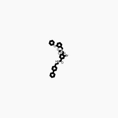 O=C(O)C(=O)N(Cc1cccc(Oc2ccccc2)c1)Cc1ccc(C(=O)NCCc2ccc(-c3ccccc3)cc2)cc1Br